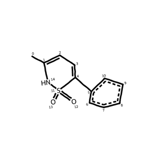 CC1=CC=C(c2ccccc2)S(=O)(=O)N1